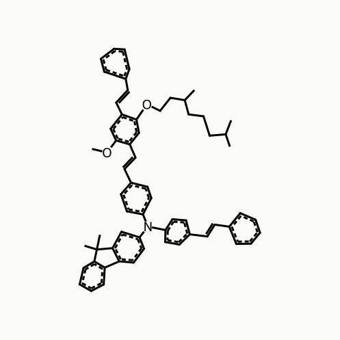 COc1cc(/C=C/c2ccccc2)c(OCCC(C)CCCC(C)C)cc1/C=C/c1ccc(N(c2ccc(/C=C/c3ccccc3)cc2)c2ccc3c(c2)C(C)(C)c2ccccc2-3)cc1